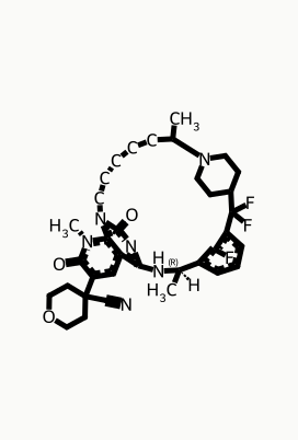 CC1CCCCCn2c(=O)nc(c3cc(C4(C#N)CCOCC4)c(=O)n(C)c32)N[C@H](C)c2cccc(c2F)C(F)(F)C2CCN1CC2